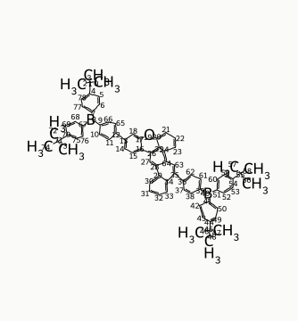 CC(C)(C)c1ccc(B(c2ccc(-c3ccc4c(c3)Oc3cccc5c3c-4cc3c4ccccc4c(-c4ccc(B(c6ccc(C(C)(C)C)cc6)c6ccc(C(C)(C)C)cc6)cc4)cc53)cc2)c2ccc(C(C)(C)C)cc2)cc1